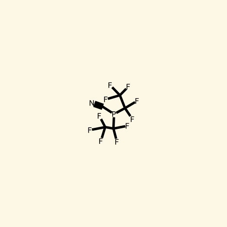 N#CP(C(F)(F)C(F)(F)F)C(F)(F)C(F)(F)F